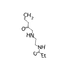 C=CCC(=O)CNCCNC(=O)CC